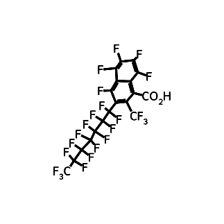 O=C(O)c1c(C(F)(F)F)c(C(F)(F)C(F)(F)C(F)(F)C(F)(F)C(F)(F)C(F)(F)C(F)(F)F)c(F)c2c(F)c(F)c(F)c(F)c12